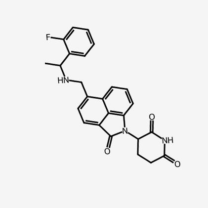 CC(NCc1ccc2c3c(cccc13)N(C1CCC(=O)NC1=O)C2=O)c1ccccc1F